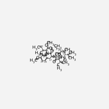 CCCC(=O)N(C)[C@H](C(=O)N[C@H](C(=O)N(C)[C@@H](Cc1ccc(OC)cc1)C(=O)N(C)[C@H](C(=O)OC)[C@@H](C)CC)C(C)C)C(C)C